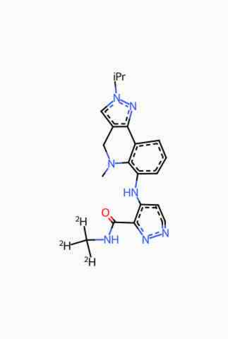 [2H]C([2H])([2H])NC(=O)c1nnccc1Nc1cccc2c1N(C)Cc1cn(C(C)C)nc1-2